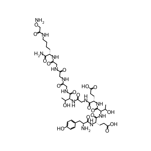 CC(O)C(NC(=O)[C@H](CCC(=O)O)NC(=O)[C@@H](N)Cc1ccc(O)cc1)C(=O)N[C@@H](CCC(=O)O)C(=O)NCC(=O)N[C@H](C(=O)NCC(=O)NCC(=O)NCC(=O)N[C@@H](CCCCNC(=O)CON)C(N)=O)C(C)O